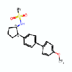 CC(C)S(=O)(=O)N[C@@H]1CCC[C@@H]1c1ccc(-c2ccc(OC(F)(F)F)cc2)cc1